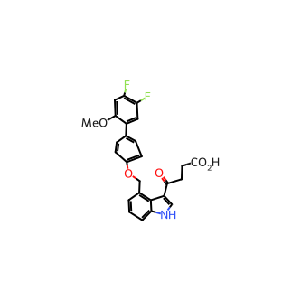 COc1cc(F)c(F)cc1-c1ccc(OCc2cccc3[nH]cc(C(=O)CCC(=O)O)c23)cc1